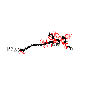 CCCCC(CCCC(O)C(O)CCCCCCCCCCCCCCC(O)C(=O)O)O[C@@H]1OC[C@@H](C)[C@H](O)[C@H]1O[C@@H]1OC[C@@H](C)[C@H](O)[C@H]1O[C@@H]1O[C@H](COC(=O)CC(C)C)[C@@H](C)[C@H](O)[C@H]1C